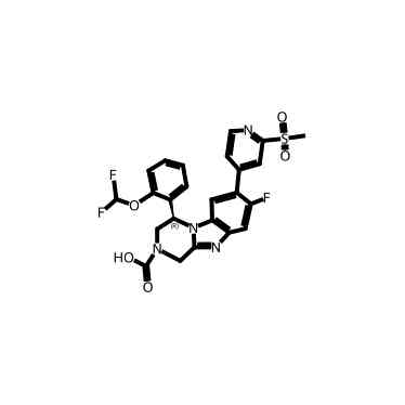 CS(=O)(=O)c1cc(-c2cc3c(cc2F)nc2n3[C@H](c3ccccc3OC(F)F)CN(C(=O)O)C2)ccn1